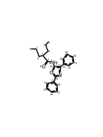 CCCC(CCC)C(=O)Nc1oc(-c2ccccc2)nc1-c1ccccc1